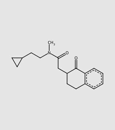 CN(CCC1CC1)C(=O)CC1CCc2ccccc2C1=O